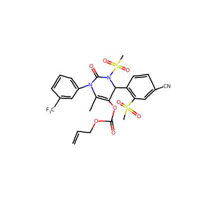 C=CCOC(=O)OC1=C(C)N(c2cccc(C(F)(F)F)c2)C(=O)N(S(C)(=O)=O)C1c1ccc(C#N)cc1S(C)(=O)=O